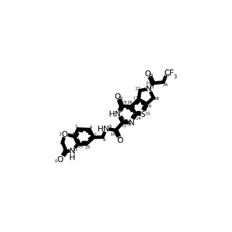 O=C1COc2ccc(CNC(=O)c3nc4sc5c(c4c(=O)[nH]3)CN(C(=O)CC(F)(F)F)C5)cc2N1